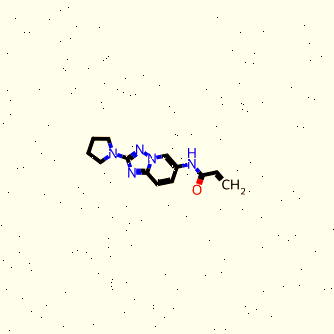 C=CC(=O)Nc1ccc2nc(N3CCCC3)nn2c1